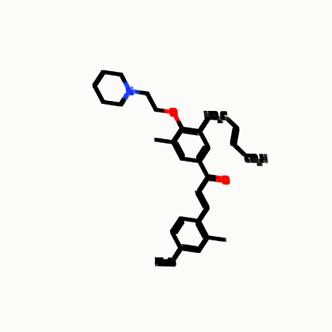 COc1ccc(/C=C/C(=O)c2cc(C)c(OCCN3CCCCC3)c(C)c2)c(C)c1.O=C(O)/C=C/C(=O)O